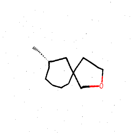 C[C@H]1CCC2(CCOC2)C1